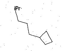 C[C](C)CCCC1CCC1